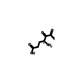 N[C@@H](CCC(=O)O)C(=O)C(=O)I